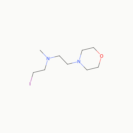 CN(CCI)CCN1CCOCC1